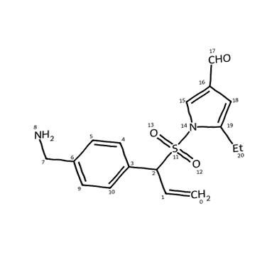 C=CC(c1ccc(CN)cc1)S(=O)(=O)n1cc(C=O)cc1CC